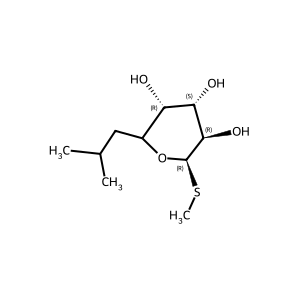 CS[C@H]1OC(CC(C)C)[C@H](O)[C@H](O)[C@H]1O